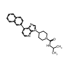 CC(C)NC(=O)N1CCC(n2cnc3c(-c4ccc5ccccc5c4)ccnc32)CC1